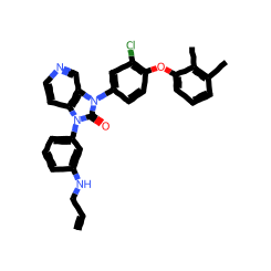 C=CCNc1cccc(-n2c(=O)n(-c3ccc(Oc4cccc(C)c4C)c(Cl)c3)c3cnccc32)c1